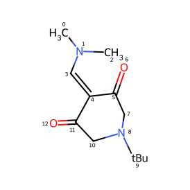 CN(C)C=C1C(=O)CN(C(C)(C)C)CC1=O